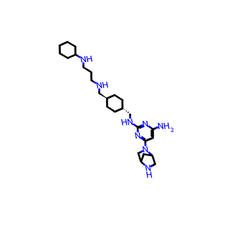 Nc1cc(N2CC3CC2CN3)nc(NC[C@H]2CC[C@H](CNCCCNC3CCCCC3)CC2)n1